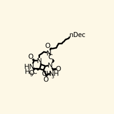 CCCCCCCCCCCCCCCC(=O)N1CCN2C(=O)NC(=O)C3(C)C2C2N(CC1)C(=O)NC(=O)C23C